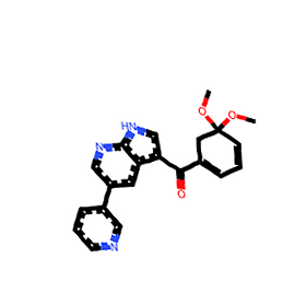 COC1(OC)C=CC=C(C(=O)c2c[nH]c3ncc(-c4cccnc4)cc23)C1